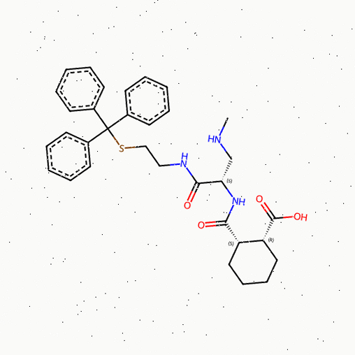 CNC[C@H](NC(=O)[C@H]1CCCC[C@H]1C(=O)O)C(=O)NCCSC(c1ccccc1)(c1ccccc1)c1ccccc1